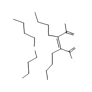 CCCC/C(C(=O)[O-])=C(\CCCC)C(=O)[O-].CCC[CH2][Sn+2][CH2]CCC